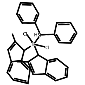 CC1=Cc2ccccc2[CH]1[Ti]([Cl])([Cl])([CH]1C(C)=Cc2ccccc21)[SiH](c1ccccc1)c1ccccc1